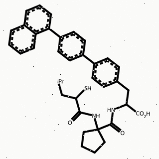 CC(C)CC(S)C(=O)NC1(C(=O)NC(Cc2ccc(-c3ccc(-c4cccc5ccccc45)cc3)cc2)C(=O)O)CCCC1